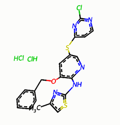 Cc1csc(Nc2ncc(Sc3ccnc(Cl)n3)cc2OCc2ccccc2)n1.Cl.Cl